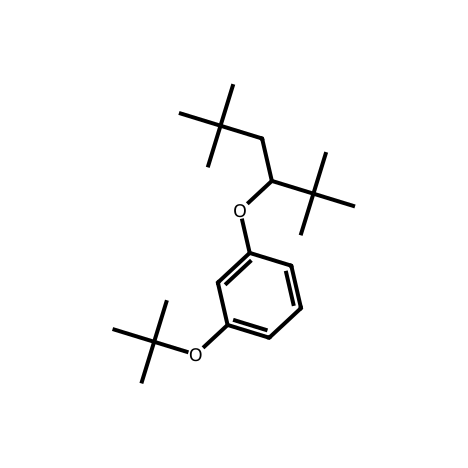 CC(C)(C)CC(Oc1cccc(OC(C)(C)C)c1)C(C)(C)C